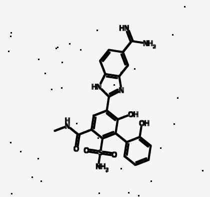 CNC(=O)c1cc(-c2nc3cc(C(=N)N)ccc3[nH]2)c(O)c(-c2ccccc2O)c1S(N)(=O)=O